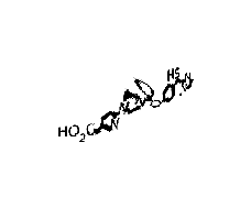 Cn1ccnc1C(S)c1ccc(OC(=O)N2CCN(c3ccc(CC(=O)O)cn3)CC2)cc1